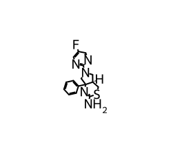 NC1=NC2(c3ccccc3)CN(c3ncc(F)cn3)C[C@H]2CS1